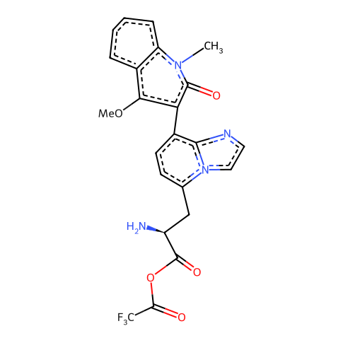 COc1c(-c2ccc(C[C@H](N)C(=O)OC(=O)C(F)(F)F)n3ccnc23)c(=O)n(C)c2ccccc12